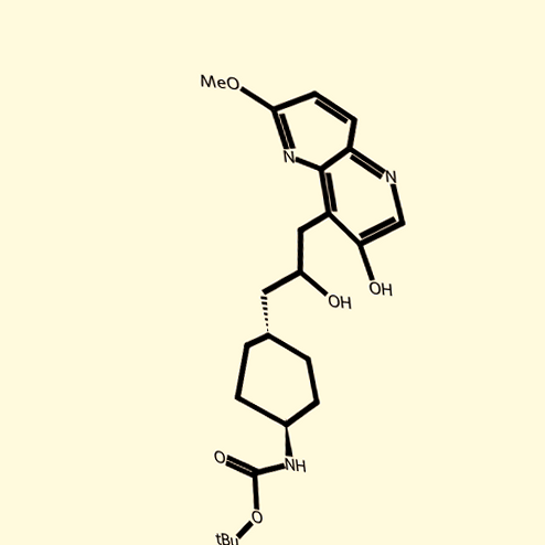 COc1ccc2ncc(O)c(CC(O)C[C@H]3CC[C@H](NC(=O)OC(C)(C)C)CC3)c2n1